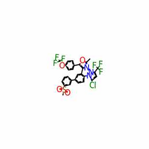 Cc1nc(-c2cc(-c3cccc(S(C)(=O)=O)c3)ccc2-n2nc(C(F)(F)F)cc2Cl)c(-c2ccc(OC(F)(F)F)cc2)o1